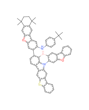 CC(C)(C)c1ccc(Nc2cc3c(cc2-c2ccc4c5cc6sc7ccccc7c6cc5n5c4c2Bc2cc4c(cc2-5)oc2ccccc24)oc2cc4c(cc23)C(C)(C)CCC4(C)C)cc1